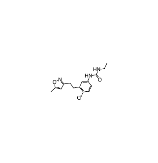 CCNC(=O)Nc1ccc(Cl)c(CCc2cc(C)on2)c1